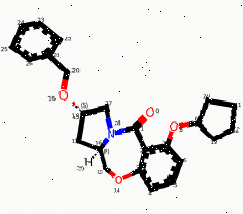 O=C1c2c(cccc2OC2CCCC2)OC[C@H]2C[C@H](OCc3ccccc3)CN12